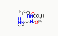 CC(C)OCCN(CCCCc1ccc2c(n1)NCCC2)CCC(NC(=O)c1ccc(C(F)(F)F)cc1)C(=O)O